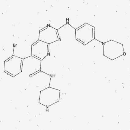 O=C(NC1CCNCC1)c1nc2nc(Nc3ccc(N4CCOCC4)cc3)ncc2cc1-c1ccccc1Br